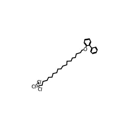 Cl[Si](Cl)(Cl)CCCCCCCCCCCCCCCCCCOc1ccccc1-c1ccccc1